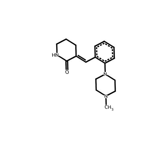 CN1CCN(c2ccccc2C=C2CCCNC2=O)CC1